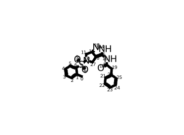 Cc1ccccc1S(=O)(=O)N1Cc2n[nH]c(NC(=O)Cc3ccccc3)c2C1